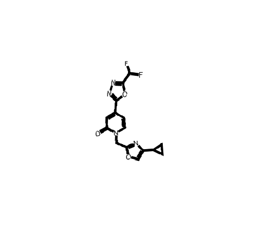 O=c1cc(-c2nnc(C(F)F)o2)ccn1Cc1nc(C2CC2)co1